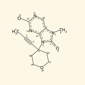 CC#CC1(n2c(=O)n(C)c3cnc(Cl)nc32)CCOCC1